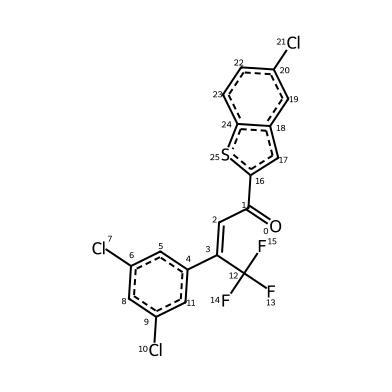 O=C(/C=C(/c1cc(Cl)cc(Cl)c1)C(F)(F)F)c1cc2cc(Cl)ccc2s1